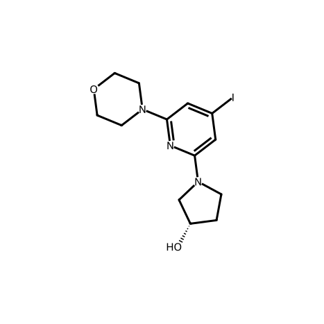 O[C@H]1CCN(c2cc(I)cc(N3CCOCC3)n2)C1